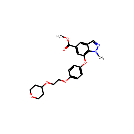 COC(=O)c1cc(Oc2ccc(OCCOC3CCOCC3)cc2)c2c(cnn2C)c1